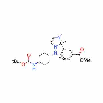 CCN([C@H]1CC[C@H](NC(=O)OC(C)(C)C)CC1)N1C=CN(C)C1(C)c1cccc(C(=O)OC)c1